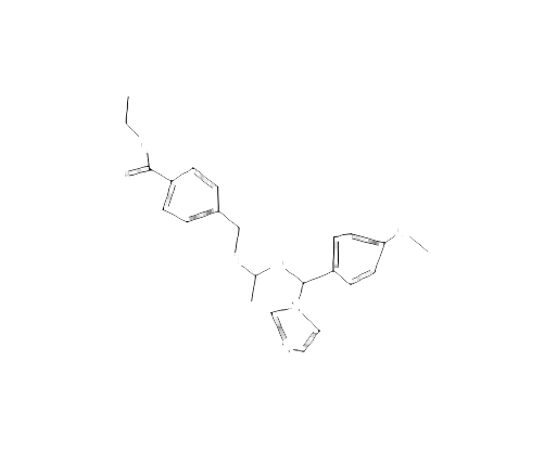 CCOC(=O)c1ccc(COC(C)OC(c2ccc(OC)cc2)n2ccnc2)cc1